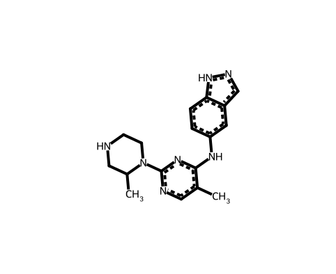 Cc1cnc(N2CCNCC2C)nc1Nc1ccc2[nH]ncc2c1